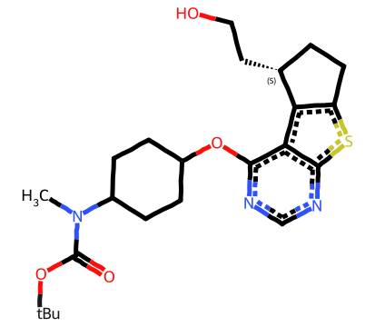 CN(C(=O)OC(C)(C)C)C1CCC(Oc2ncnc3sc4c(c23)[C@H](CCO)CC4)CC1